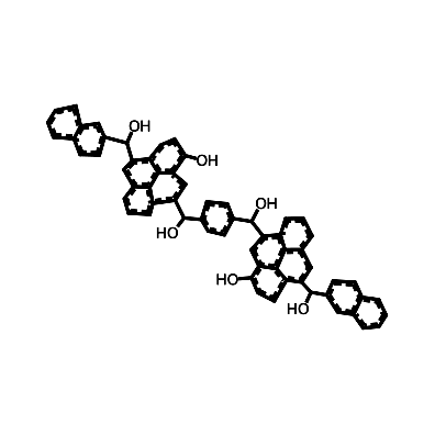 Oc1ccc2c(C(O)c3ccc4ccccc4c3)cc3cccc4c(C(O)c5ccc(C(O)c6cc7c(O)ccc8c(C(O)c9ccc%10ccccc%10c9)cc9cccc6c9c78)cc5)cc1c2c34